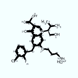 CC(C)[C@@H](CO)n1cc(C(=O)O)c(=O)c2cc(Cc3cccc(Cl)c3F)c(OCCCN)cc21.Cl